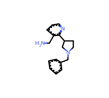 NCc1cccnc1C1CCN(Cc2ccccc2)C1